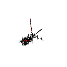 CCCCCCCCCCCCC/C=C/[C@@H](O)[C@H](CO[C@@H]1O[C@H](CO)[C@@H](O[C@@H]2O[C@H](CO)[C@H](O)[C@H](O[C@]3(C(=O)O)C[C@H](O)[C@@H](NC(C)=O)[C@H]([C@H](O)[C@H](O)CO)O3)[C@H]2O)[C@H](O)[C@H]1O)NC(=O)CCCCCCCCCCCCCCCCCCCCCC.N